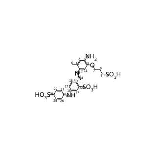 Cc1cc(N)c(OCCCS(=O)(=O)O)cc1N=Nc1ccc(NC2C=CC(S(=O)(=O)O)C=C2)cc1S(=O)(=O)O